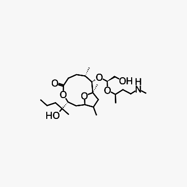 CCCC(C)(O)[C@H]1CC2O[C@](C)(CC2C)[C@@H](O[C@@H](CO)OC(C)CCNC)[C@@H](C)CCC(=O)O1